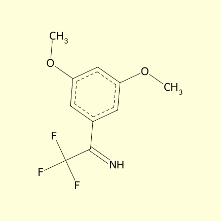 COc1cc(OC)cc(C(=N)C(F)(F)F)c1